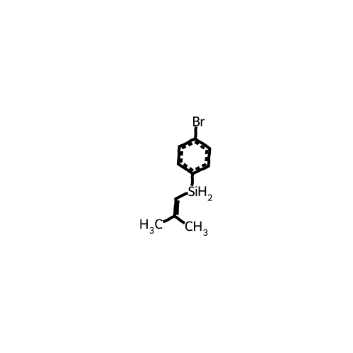 CC(C)=C[SiH2]c1ccc(Br)cc1